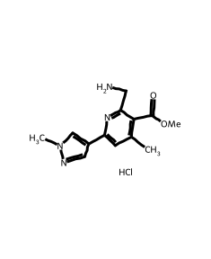 COC(=O)c1c(C)cc(-c2cnn(C)c2)nc1CN.Cl